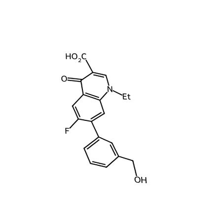 CCn1cc(C(=O)O)c(=O)c2cc(F)c(-c3cccc(CO)c3)cc21